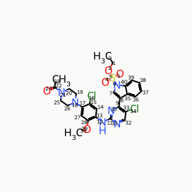 CCOS(=O)(=O)n1cc(-c2nc(Nc3cc(Cl)c(N4CCN(C(C)=O)CC4)cc3OC)ncc2Cl)c2ccccc21